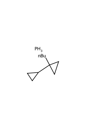 CCCCC1(C2CC2)CC1.P